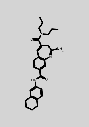 CCCN(CCC)C(=O)C1=Cc2ccc(C(=O)Nc3ccc4c(c3)CCCC4)cc2N=C(N)C1